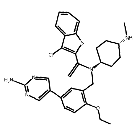 C=C(c1sc2ccccc2c1Cl)N(Cc1cc(-c2cnc(N)nc2)ccc1OCC)[C@H]1CC[C@H](NC)CC1